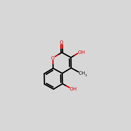 Cc1c(O)c(=O)oc2cccc(O)c12